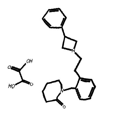 O=C(O)C(=O)O.O=C1CCCCN1c1ccccc1CCN1CC(c2ccccc2)C1